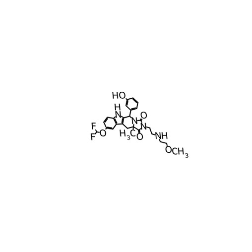 COCCNCCN1C(=O)N2C(c3cccc(O)c3)c3[nH]c4ccc(OC(F)F)cc4c3CC2(C)C1=O